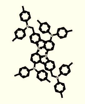 Cc1ccc(N(Cc2ccc3c(c2)c2c(N(c4ccc(C)cc4)c4ccc(C)cc4)ccc4c2n3c2ccc(N(c3ccc(C)cc3)c3ccc(C)cc3)c3c5cc(CN(c6ccc(C)cc6)c6ccc(C)cc6)ccc5n4c32)c2ccc(C)cc2)cc1